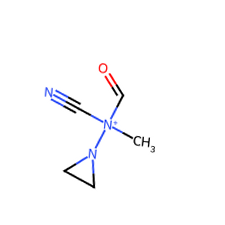 C[N+](C#N)(C=O)N1CC1